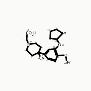 CC(C)Oc1ccc(C2(C#N)CCN(CC(=O)O)CC2)cc1OC1CCCC1